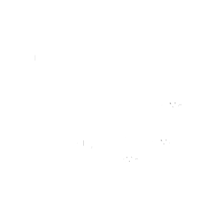 C.COc1cc2c(ccc3cc(O)ccc32)c(OC)c1OC